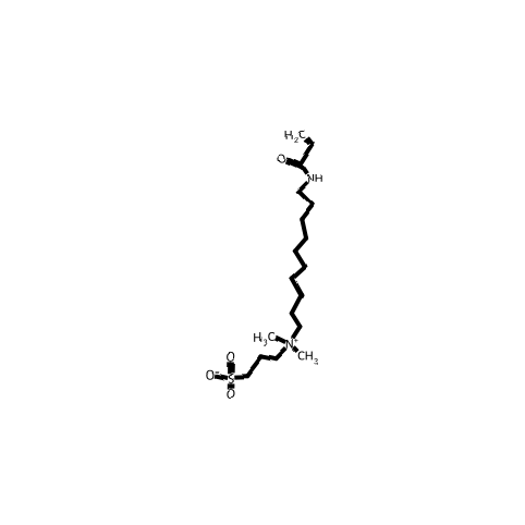 C=CC(=O)NCCCCCCCCCC[N+](C)(C)CCCS(=O)(=O)[O-]